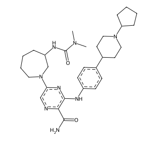 CN(C)C(=O)NC1CCCCN(c2cnc(C(N)=O)c(Nc3ccc(C4CCN(C5CCCC5)CC4)cc3)n2)C1